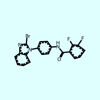 O=C(Nc1ccc(-n2c(Br)nc3ccccc32)cc1)c1cccc(F)c1F